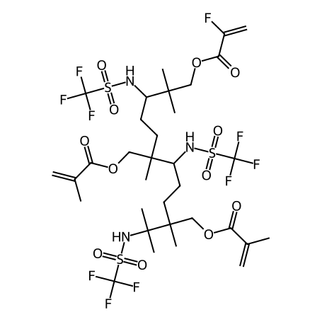 C=C(C)C(=O)OCC(C)(CCC(NS(=O)(=O)C(F)(F)F)C(C)(C)COC(=O)C(=C)F)C(CCC(C)(COC(=O)C(=C)C)C(C)(C)NS(=O)(=O)C(F)(F)F)NS(=O)(=O)C(F)(F)F